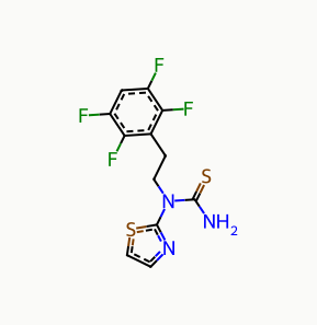 NC(=S)N(CCc1c(F)c(F)cc(F)c1F)c1nccs1